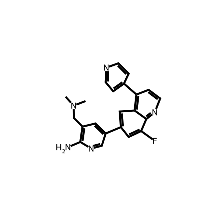 CN(C)Cc1cc(-c2cc(F)c3nccc(-c4ccncc4)c3c2)cnc1N